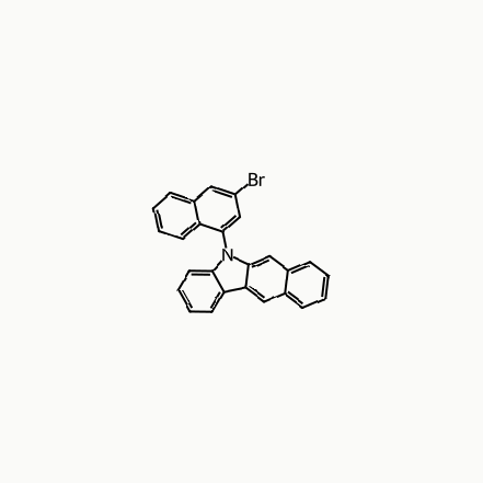 Brc1cc(-n2c3ccccc3c3cc4ccccc4cc32)c2ccccc2c1